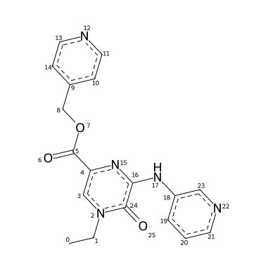 CCn1cc(C(=O)OCc2ccncc2)nc(Nc2cccnc2)c1=O